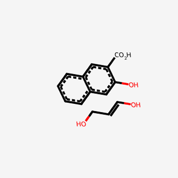 O=C(O)c1cc2ccccc2cc1O.OC=CCO